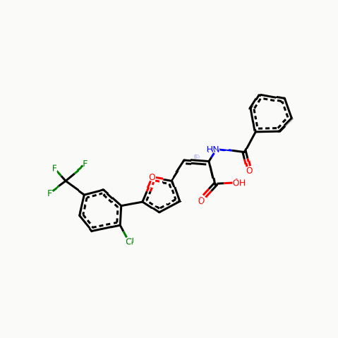 O=C(O)/C(=C\c1ccc(-c2cc(C(F)(F)F)ccc2Cl)o1)NC(=O)c1ccccc1